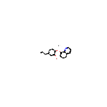 C=CCc1ccc(Oc2cccc3cccnc23)c(OC)c1.[CaH2]